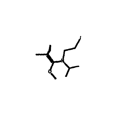 COC(=C(C)C)N(CCI)C(C)C